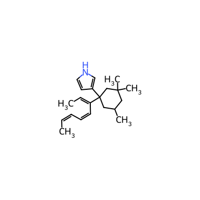 C\C=C/C=C\C(=C/C)C1(c2cc[nH]c2)CC(C)CC(C)(C)C1